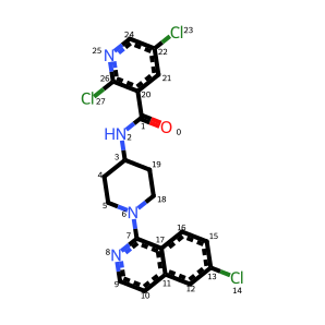 O=C(NC1CCN(c2nccc3cc(Cl)ccc23)CC1)c1cc(Cl)cnc1Cl